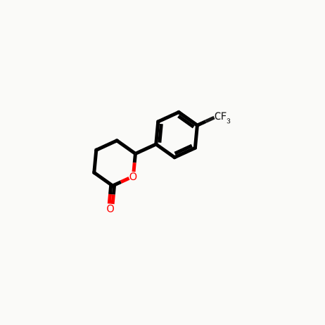 O=C1CCCC(c2ccc(C(F)(F)F)cc2)O1